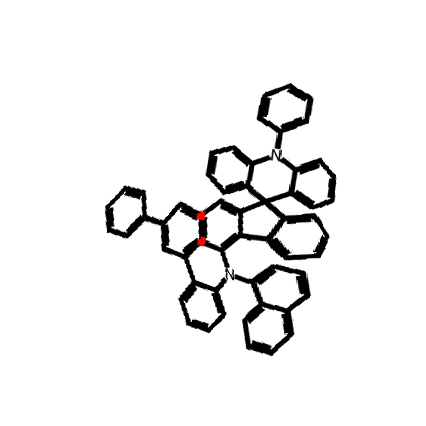 c1ccc(-c2cccc(-c3ccccc3N(c3cccc4c3-c3ccccc3C43c4ccccc4N(c4ccccc4)c4ccccc43)c3cccc4ccccc34)c2)cc1